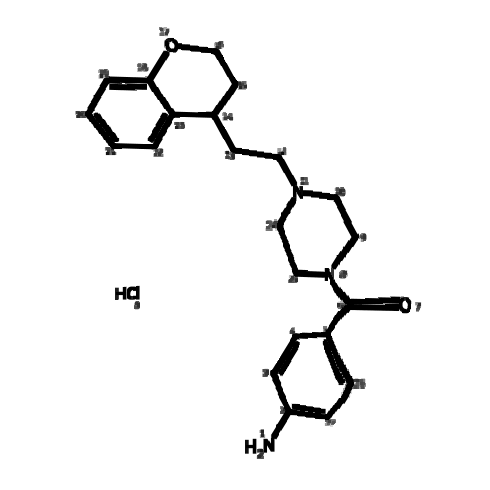 Cl.Nc1ccc(C(=O)N2CCN(CCC3CCOc4ccccc43)CC2)cc1